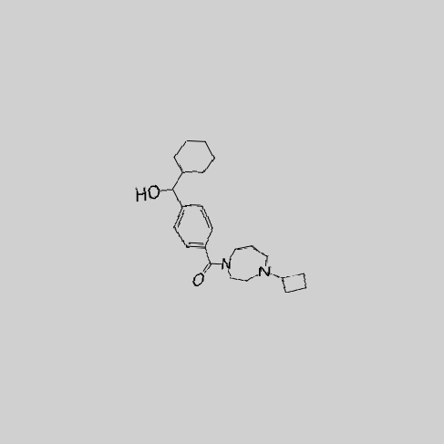 O=C(c1ccc(C(O)C2CCCCC2)cc1)N1CCCN(C2CCC2)CC1